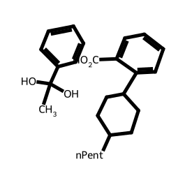 CC(O)(O)c1ccccc1.CCCCCC1CCC(c2ccccc2C(=O)O)CC1